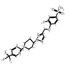 CS(=O)(=O)c1ccc(OCc2cnn(C3CCN(c4ncc(C(F)(F)F)cn4)CC3)n2)c(F)c1